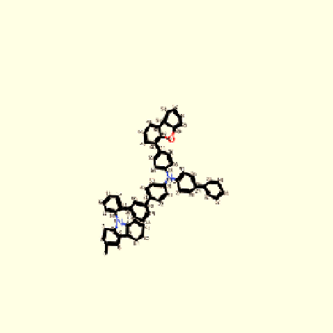 Cc1ccc2c(c1)c1c(n2-c2ccccc2-c2cccc(-c3ccc(N(c4ccc(-c5ccccc5)cc4)c4ccc(-c5cccc6c5oc5ccccc56)cc4)cc3)c2)C=CCC1